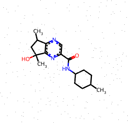 CC1CCC(NC(=O)c2cnc3c(n2)C(C)(O)CC3C)CC1